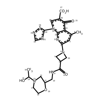 Cc1cc(N2CC(C(=O)NCC3CN(C(O)C(F)(F)F)CCO3)C2)nc2c1c(=O)c(C(=O)O)cn2-c1ncns1